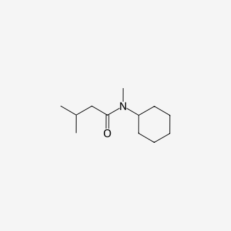 CC(C)CC(=O)N(C)C1CCCCC1